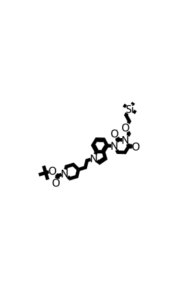 CC(C)(C)OC(=O)N1CCC(CCn2ccc3c(N4CCC(=O)N(COCC[Si](C)(C)C)C4=O)cccc32)CC1